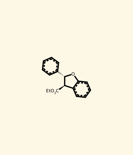 CCOC(=O)[C@@H]1c2ccccc2O[C@H]1c1ccccc1